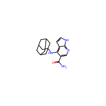 NC(=O)c1cnc2[nH]ccc2c1NC12CC3CC(CC(C3)C1)C2